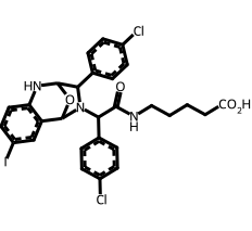 O=C(O)CCCCNC(=O)C(c1ccc(Cl)cc1)N1C2OC(Nc3ccc(I)cc32)C1c1ccc(Cl)cc1